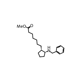 COC(=O)CCCCCC[C@@H]1CCC[C@@H]1NCc1ccccc1